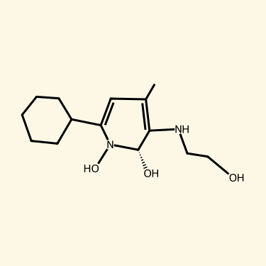 CC1=C(NCCO)[C@H](O)N(O)C(C2CCCCC2)=C1